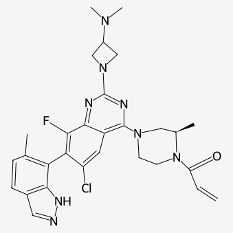 C=CC(=O)N1CCN(c2nc(N3CC(N(C)C)C3)nc3c(F)c(-c4c(C)ccc5cn[nH]c45)c(Cl)cc23)C[C@H]1C